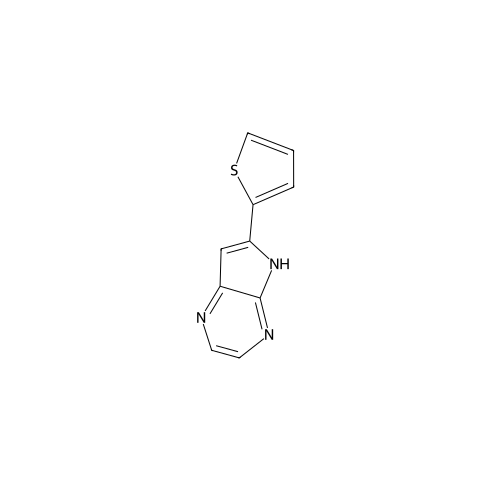 c1csc(-c2cc3nccnc3[nH]2)c1